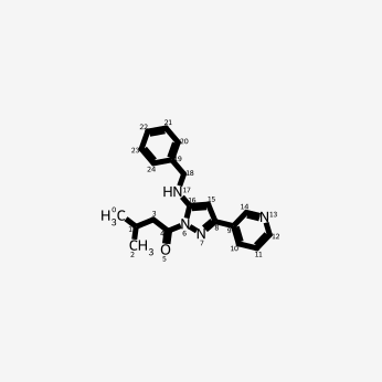 CC(C)CC(=O)n1nc(-c2cccnc2)cc1NCc1ccccc1